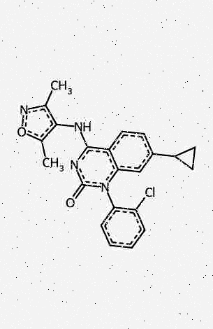 Cc1noc(C)c1Nc1nc(=O)n(-c2ccccc2Cl)c2cc(C3CC3)ccc12